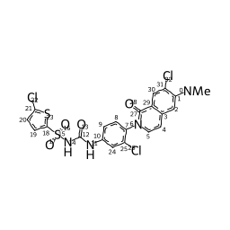 CNc1cc2ccn(-c3ccc(NC(=O)NS(=O)(=O)c4ccc(Cl)s4)cc3Cl)c(=O)c2cc1Cl